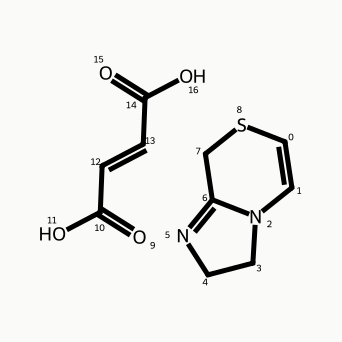 C1=CN2CCN=C2CS1.O=C(O)/C=C/C(=O)O